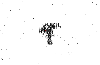 CC(C)NC(=O)C(=O)[C@H](CC1CCNC1=O)N1C(=O)[C@@H](NC(=O)OCc2ccccc2)CC1C